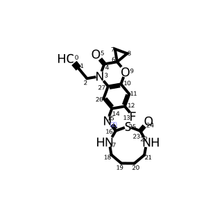 C#CCN1C(=O)C2(CC2)Oc2cc(F)c(/N=C3/NCCCCNC(=O)S3)cc21